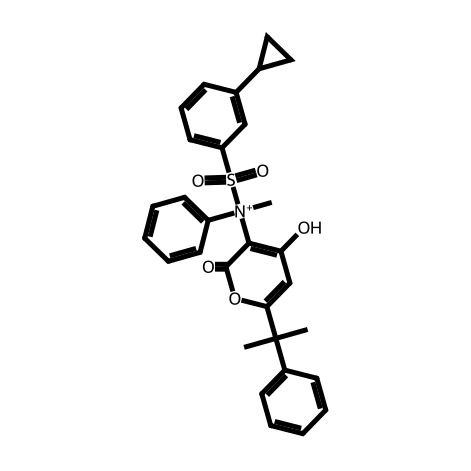 CC(C)(c1ccccc1)c1cc(O)c([N+](C)(c2ccccc2)S(=O)(=O)c2cccc(C3CC3)c2)c(=O)o1